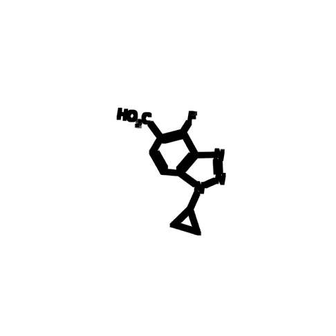 O=C(O)c1ccc2c(nnn2C2CC2)c1F